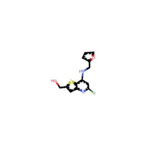 OCc1cc2nc(Cl)cc(NCc3ccco3)c2s1